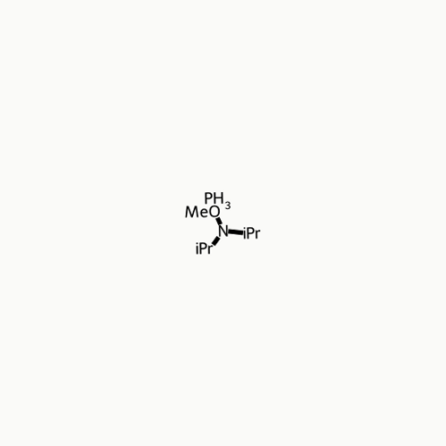 CON(C(C)C)C(C)C.P